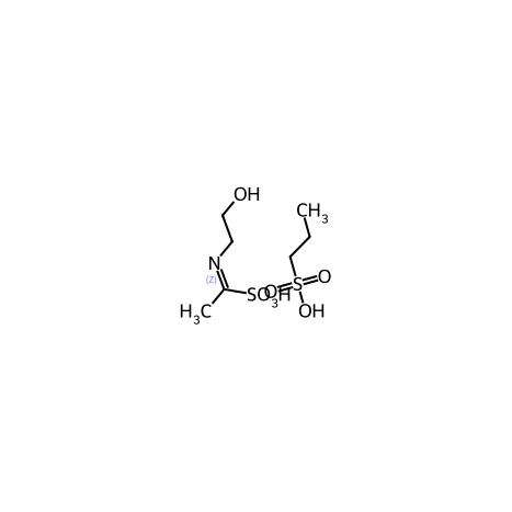 C/C(=N/CCO)S(=O)(=O)O.CCCS(=O)(=O)O